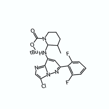 CC1CCCN(C(=O)OC(C)(C)C)C1Nc1cc(-c2c(F)cccc2F)nn2c(Cl)cnc12